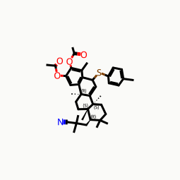 CC(=O)Oc1cc2c(c(C)c1OC(C)=O)C(Sc1ccc(C)cc1)C=C1[C@@]2(C)CC[C@@]2(C)[C@H](CC(C)(C)C#N)C(C)(C)CC[C@]12C